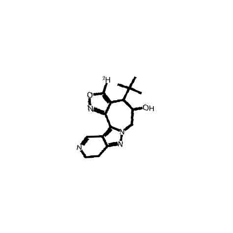 [2H]c1onc2c1C(C(C)(C)C)C(O)Cn1nc3c(c1-2)C=NCC3